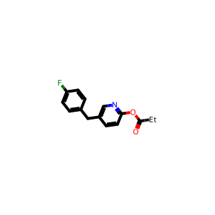 CCC(=O)Oc1ccc(Cc2ccc(F)cc2)cn1